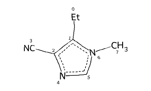 CCc1c(C#N)ncn1C